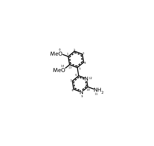 COc1cccc(-c2ccnc(N)n2)c1OC